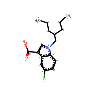 CCCC(CCC)Cn1cc(C(=O)O)c2cc(Cl)ccc21